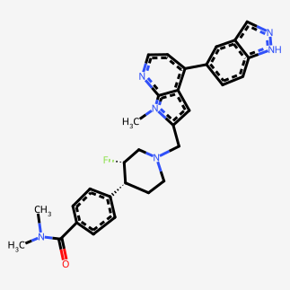 CN(C)C(=O)c1ccc([C@H]2CCN(Cc3cc4c(-c5ccc6[nH]ncc6c5)ccnc4n3C)C[C@H]2F)cc1